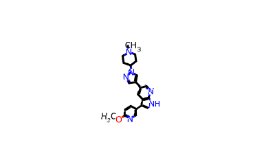 COc1ccc(-c2c[nH]c3ncc(-c4cnn(C5CCN(C)CC5)c4)cc23)cn1